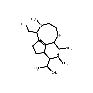 CCC1C2=C(C(CN)NCCN1C)C(C(NC)C(C)C)CC2